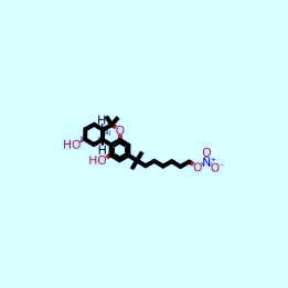 CC(C)(CCCCCCO[N+](=O)[O-])c1cc(O)c2c(c1)OC(C)(C)[C@@H]1CC[C@@H](O)C[C@@H]21